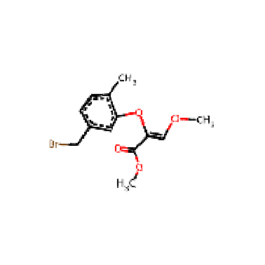 CO/C=C(\Oc1cc(CBr)ccc1C)C(=O)OC